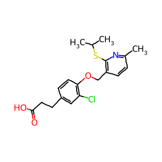 Cc1ccc(COc2ccc(CCC(=O)O)cc2Cl)c(SC(C)C)n1